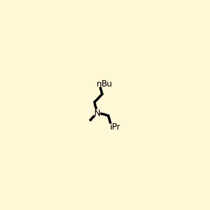 CCCCCCN(C)CC(C)C